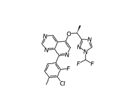 Cc1ccc(-c2ncc(O[C@@H](C)c3ncn(C(F)F)n3)c3cncnc23)c(F)c1Cl